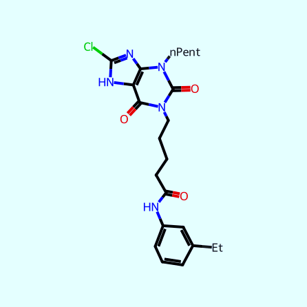 CCCCCn1c(=O)n(CCCCC(=O)Nc2cccc(CC)c2)c(=O)c2[nH]c(Cl)nc21